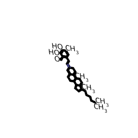 Cc1cc(C/C=C2/C=C3CCC4C(CCC5(C)C(CCCCC(C)C)CCC45)C3(C)CC2)c(C=O)c(O)c1O